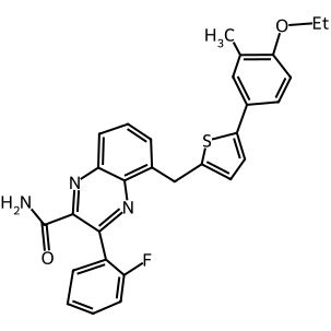 CCOc1ccc(-c2ccc(Cc3cccc4nc(C(N)=O)c(-c5ccccc5F)nc34)s2)cc1C